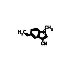 C=Cc1ccc2c(c1)c(C#N)cn2C